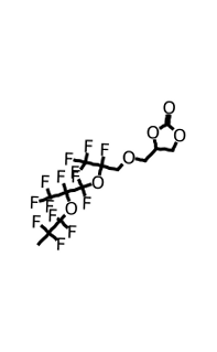 CC(F)(F)C(F)(F)OC(F)(C(F)(F)F)C(F)(F)OC(F)(COCC1COC(=O)O1)C(F)(F)F